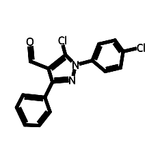 O=Cc1c(-c2ccccc2)nn(-c2ccc(Cl)cc2)c1Cl